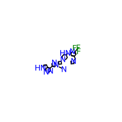 N#CC[C@]1(n2cc(-c3ncnc4[nH]ccc34)cn2)C[C@H](N2CCC(Nc3cc(CN4CCC4)cc(C(F)(F)F)n3)CC2)C1